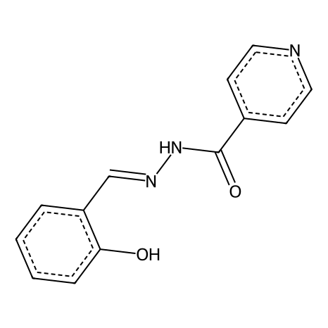 O=C(NN=Cc1ccccc1O)c1ccncc1